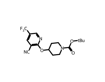 CC(C)(C)OC(=O)N1CCC(Oc2ncc(C(F)(F)F)cc2C#N)CC1